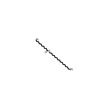 CC(C)CCCCCCCCCCCCCCCOC(=O)CCCCCCCCC(C)C